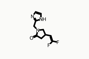 O=C1CC(C=C(F)F)CN1Cc1ncc[nH]1